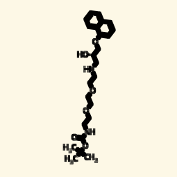 CC(C)(C)OC(=O)NCCOCCOCCNC[C@H](O)COc1cccc2ccccc12